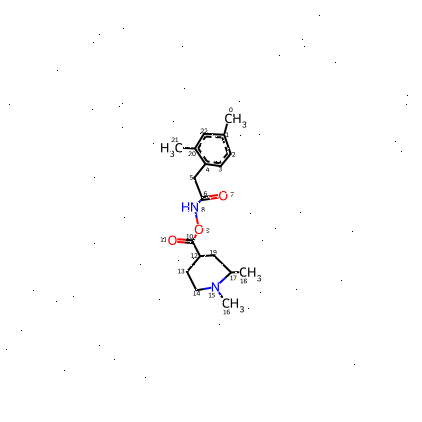 Cc1ccc(CC(=O)NOC(=O)C2CCN(C)C(C)C2)c(C)c1